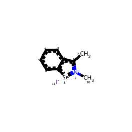 Cc1c2ccccc2[se][n+]1C.[I-]